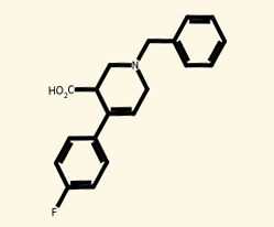 O=C(O)C1CN(Cc2ccccc2)CC=C1c1ccc(F)cc1